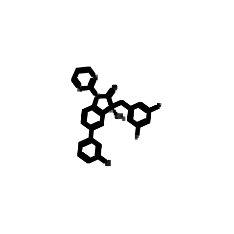 C[C@@]1(Cc2cc(F)cc(F)c2)C(=O)N(c2ncccn2)c2ccc(-c3cccc(Cl)c3)cc21